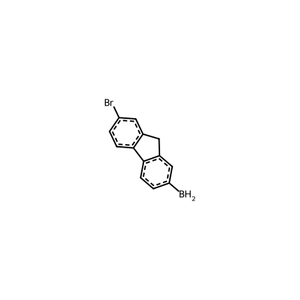 Bc1ccc2c(c1)Cc1cc(Br)ccc1-2